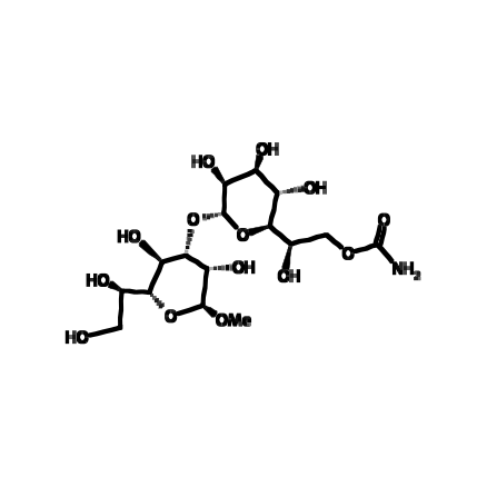 CO[C@H]1O[C@H]([C@H](O)CO)[C@@H](O)[C@H](O[C@H]2O[C@H]([C@H](O)COC(N)=O)[C@@H](O)[C@H](O)[C@@H]2O)[C@@H]1O